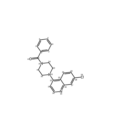 O=C(c1ccccc1)N1CCN(c2ccnc3cc(Cl)ccc23)CC1